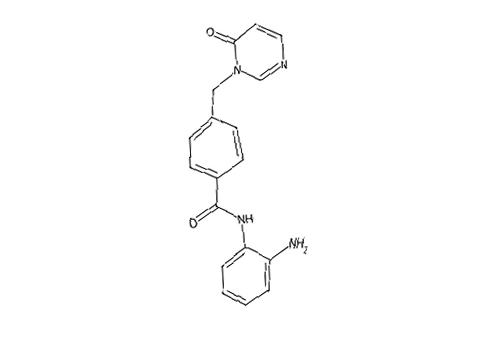 Nc1ccccc1NC(=O)c1ccc(Cn2cnccc2=O)cc1